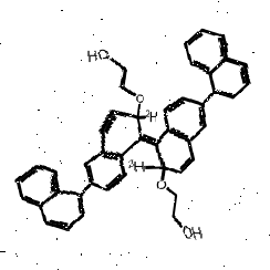 [2H]C1(OCCO)C=Cc2cc(-c3cccc4ccccc34)ccc2C1=C1c2ccc(-c3cccc4ccccc34)cc2C=CC1([2H])OCCO